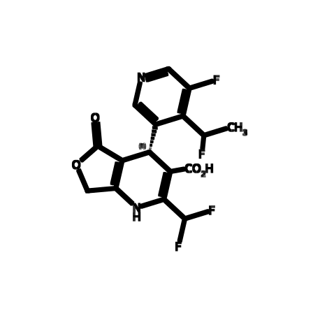 CC(F)c1c(F)cncc1[C@H]1C2=C(COC2=O)NC(C(F)F)=C1C(=O)O